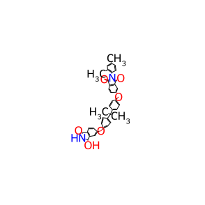 Cc1ccc(N2C(=O)c3ccc(Oc4ccc(C(C)(C)c5ccc(Oc6ccc7c(c6)C(O)NC7=O)cc5)cc4)cc3C2=O)c(C)c1